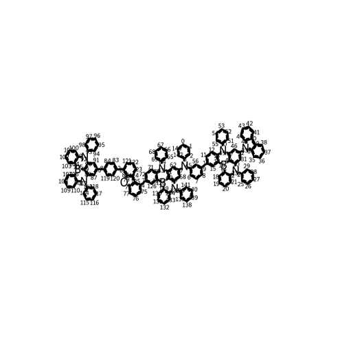 c1ccc(N(c2cccc(-c3ccc4c(c3)B3c5ccccc5N(c5ccccc5)c5cc(-n6c7ccccc7c7ccccc76)cc(c53)N4c3ccccc3)c2)c2cc3c4c(c2)N(c2ccccc2)c2ccc(-c5cccc6oc7c(-c8ccc(-c9cc%10c%11c(c9)N(c9ccccc9)c9ccccc9B%11c9ccccc9N%10c9ccccc9)cc8)cccc7c56)cc2B4c2ccccc2N3c2ccccc2)cc1